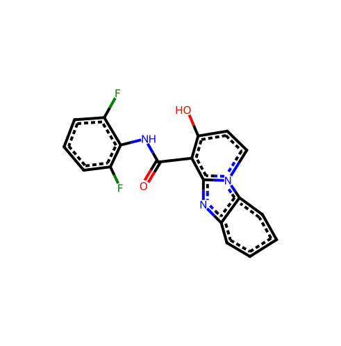 O=C(Nc1c(F)cccc1F)c1c(O)ccn2c1nc1ccccc12